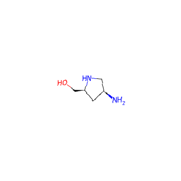 N[C@@H]1CN[C@H](CO)C1